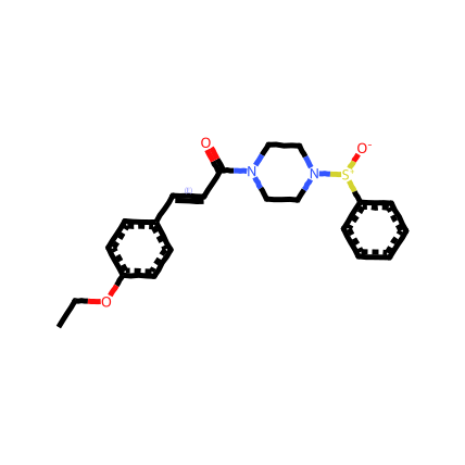 CCOc1ccc(/C=C/C(=O)N2CCN([S+]([O-])c3ccccc3)CC2)cc1